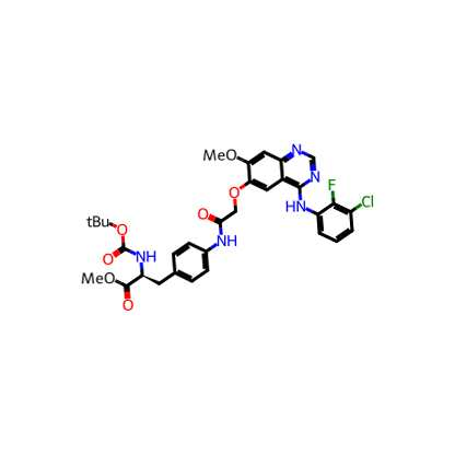 COC(=O)[C@H](Cc1ccc(NC(=O)COc2cc3c(Nc4cccc(Cl)c4F)ncnc3cc2OC)cc1)NC(=O)OC(C)(C)C